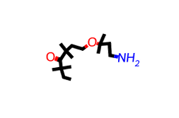 CCC(C)(C)C(=O)C(C)(C)CCOC(C)(C)CCN